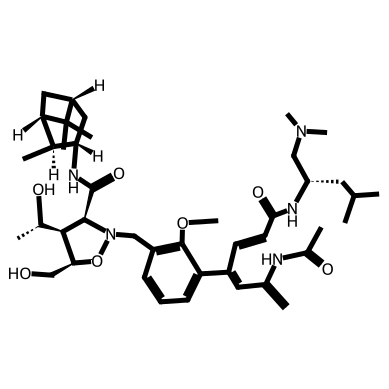 C=C(/C=C(\C=C\C(=O)N[C@@H](CC(C)C)CN(C)C)c1cccc(CN2O[C@@H](CO)[C@@H]([C@H](C)O)[C@H]2C(=O)N[C@H]2C[C@H]3C[C@@H]([C@@H]2C)C3(C)C)c1OC)NC(C)=O